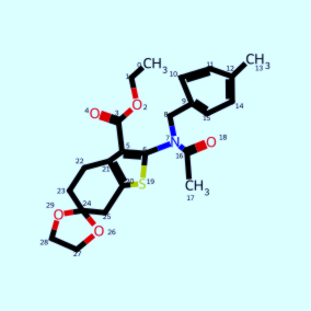 CCOC(=O)c1c(N(Cc2ccc(C)cc2)C(C)=O)sc2c1CCC1(C2)OCCO1